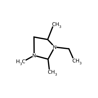 CCN1C(C)CN(C)C1C